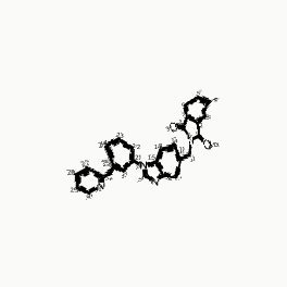 O=C1c2ccccc2C(=O)N1Cc1ccc2c(c1)ncn2-c1cccc(-c2ccccn2)c1